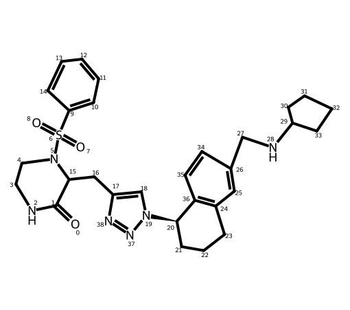 O=C1NCCN(S(=O)(=O)c2ccccc2)C1Cc1cn([C@@H]2CCCc3cc(CNC4CCCC4)ccc32)nn1